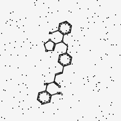 CC(=O)c1ccccc1N(Cc1ccc(C=CC(=O)Nc2ccccc2N)cc1)C1=COCO1